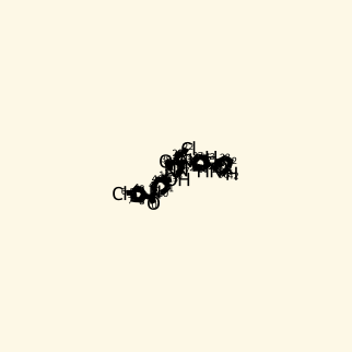 O=C(c1ccc(Cl)cc1)N1CCC(O)(Cn2cnc3c(cc(Cl)n3-c3ccc([C@H]4NC[C@H]5CC[C@@H]4O5)cc3)c2=O)CC1